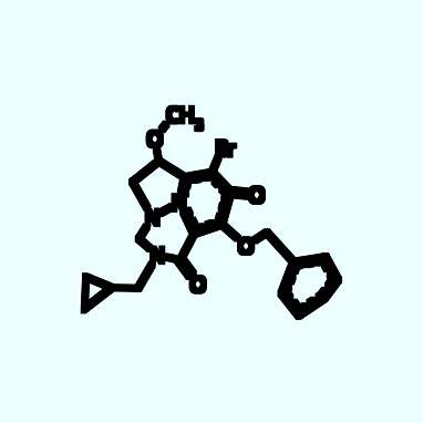 COC1CN2CN(CC3CC3)C(=O)c3c(OCc4ccccc4)c(=O)c(Br)c1n32